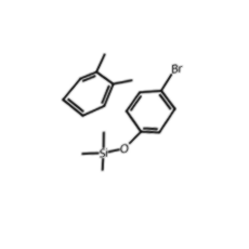 C[Si](C)(C)Oc1ccc(Br)cc1.Cc1ccccc1C